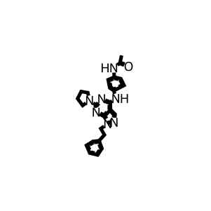 CC(=O)Nc1ccc(Nc2nc(N3CCCC3)nc3c2cnn3CCc2ccccc2)cc1